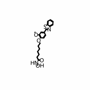 COc1cc(-c2nc3ccccc3s2)ccc1OCCCCCCC(=O)NO